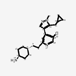 Cn1ncc(-c2cc(CC[C@H]3CC[C@H](N)CC3)ncc2Cl)c1CC1CC1